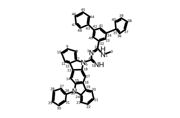 CN/C(=N\C(=N)n1c2ccccc2c2cc3c(cc21)c1ccccc1n3-c1ccccc1)c1cc(-c2ccccc2)cc(-c2ccccc2)c1